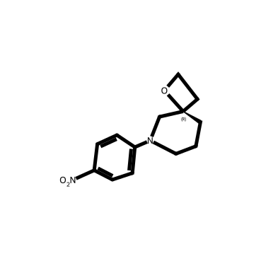 O=[N+]([O-])c1ccc(N2CCC[C@@]3(CCO3)C2)cc1